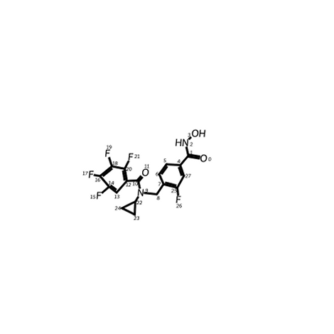 O=C(NO)c1ccc(CN(C(=O)c2cc(F)c(F)c(F)c2F)C2CC2)c(F)c1